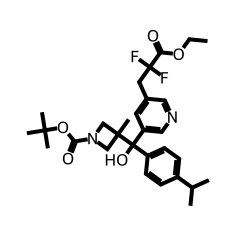 CCOC(=O)C(F)(F)Cc1cncc(C(O)(c2ccc(C(C)C)cc2)C2(C)CN(C(=O)OC(C)(C)C)C2)c1